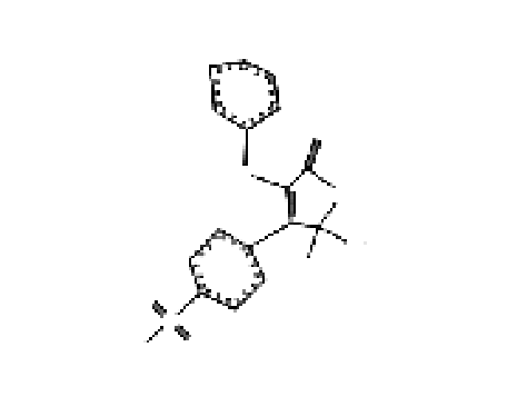 COC1(C)OC(=O)C(Sc2ccccc2)=C1c1ccc(S(C)(=O)=O)cc1